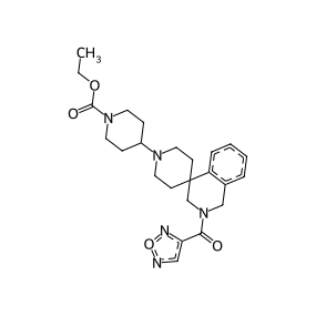 CCOC(=O)N1CCC(N2CCC3(CC2)CN(C(=O)c2cnon2)Cc2ccccc23)CC1